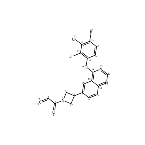 C=CC(=O)N1CC(c2ccc3ncnc(Oc4ccc(F)c(Cl)c4F)c3c2)C1